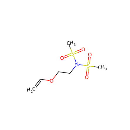 C=COCCN(S(C)(=O)=O)S(C)(=O)=O